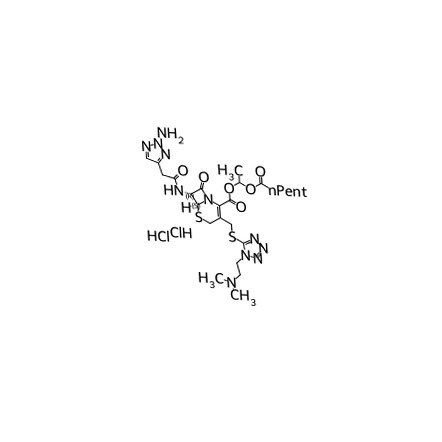 CCCCCC(=O)OC(C)OC(=O)C1=C(CSc2nnnn2CCN(C)C)CS[C@H]2[C@H](NC(=O)Cc3cnn(N)n3)C(=O)N12.Cl.Cl